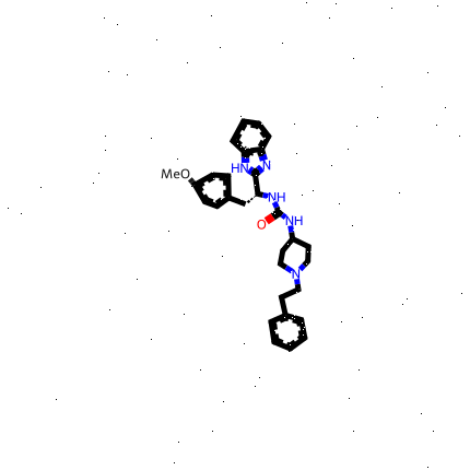 COc1ccc(C[C@@H](NC(=O)NC2CCN(CCc3ccccc3)CC2)c2nc3ccccc3[nH]2)cc1